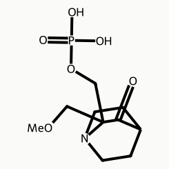 COCC1(COP(=O)(O)O)C(=O)C2CCN1CC2